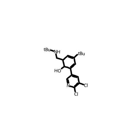 CC(C)(C)NCC1C=C(C(C)(C)C)C=C(c2cnc(Cl)c(Cl)c2)C1O